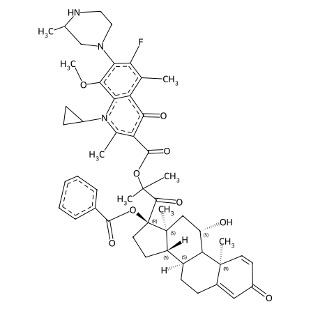 COc1c(N2CCNC(C)C2)c(F)c(C)c2c(=O)c(C(=O)OC(C)(C)C(=O)[C@@]3(OC(=O)c4ccccc4)CC[C@H]4[C@@H]5CCC6=CC(=O)C=C[C@]6(C)C5[C@@H](O)C[C@@]43C)c(C)n(C3CC3)c12